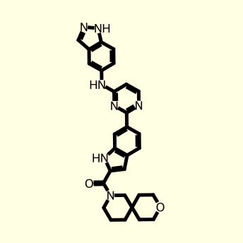 O=C(c1cc2ccc(-c3nccc(Nc4ccc5[nH]ncc5c4)n3)cc2[nH]1)N1CCCC2(CCOCC2)C1